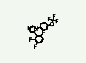 Fc1ccc(F)c(-c2cncn2-c2ccc(OC(F)(F)F)cc2)c1F